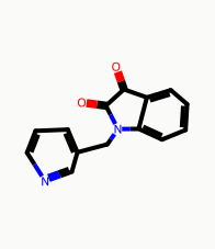 O=C1C(=O)N(Cc2cccnc2)c2ccccc21